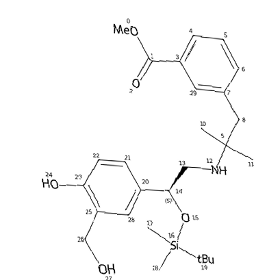 COC(=O)c1cccc(CC(C)(C)NC[C@@H](O[Si](C)(C)C(C)(C)C)c2ccc(O)c(CO)c2)c1